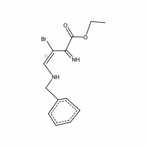 CCOC(=O)C(=N)/C(Br)=C\NCc1ccccc1